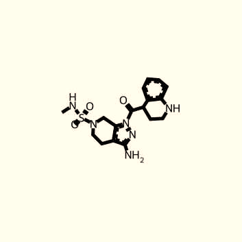 CNS(=O)(=O)N1CCc2c(N)nn(C(=O)C3CCNc4ccccc43)c2C1